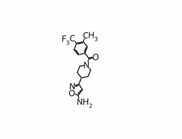 Cc1cc(C(=O)N2CCC(c3cc(N)on3)CC2)ccc1C(F)(F)F